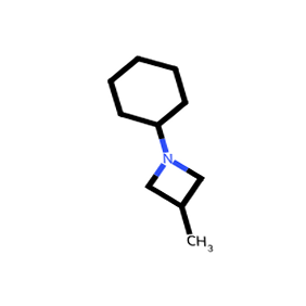 CC1CN(C2CCCCC2)C1